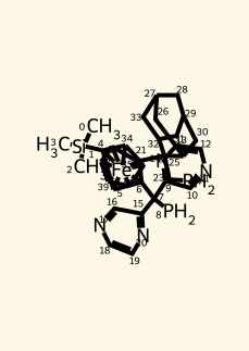 C[Si](C)(C)[C]12[CH]3[C]4(C(P)(c5cnccn5)c5cnccn5)[C]5(C6(CP)C7CC8CC(C7)CC6C8)[CH]1[Fe]34521678[CH]2[CH]1[CH]6[CH]7[CH]28